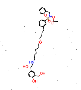 CC(=O)ON(Cc1ccccc1)S(=O)(=O)c1cccc(CCCCOCCCCCCNC[C@@H](O)c2ccc(O)c(CO)c2)c1